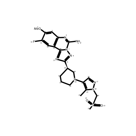 COc1cc2nc(N)n3nc([C@@H]4CCCN(c5cnn(CS(C)(=O)=O)c5C)C4)nc3c2cc1F